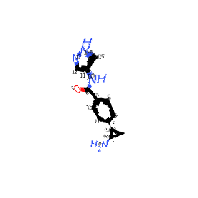 N[C@@H]1C[C@H]1c1ccc(C(=O)Nc2cn[nH]c2)cc1